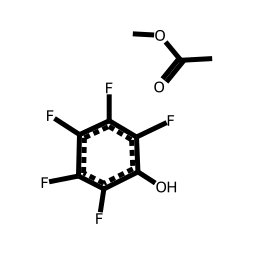 COC(C)=O.Oc1c(F)c(F)c(F)c(F)c1F